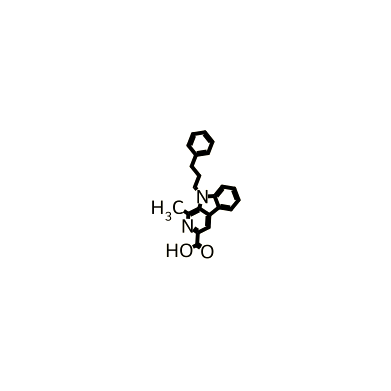 Cc1nc(C(=O)O)cc2c3ccccc3n(CCCc3ccccc3)c12